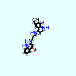 CCc1cc(I)c2c(c1)[C@H](NCCCNc1cc(=O)c3ccccc3[nH]1)CCN2